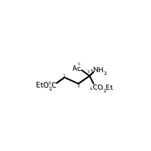 CCOC(=O)CCC(N)(C(C)=O)C(=O)OCC